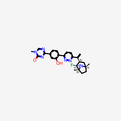 C=C(c1ccc(-c2ccc(-c3ncn(C)c(=O)n3)cc2O)nn1)[C@H]1C[C@]2(C)CC[C@@](C)(N2)[C@H]1F